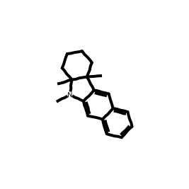 CN1c2cc3ccccc3cc2C2(C)CCCCC12C